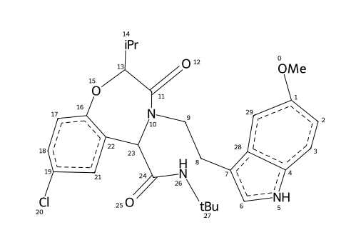 COc1ccc2[nH]cc(CCN3C(=O)C(C(C)C)Oc4ccc(Cl)cc4C3C(=O)NC(C)(C)C)c2c1